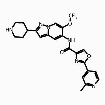 Cc1cc(-c2nc(C(=O)Nc3cc4cc(C5CCNCC5)nn4cc3OC(F)(F)F)co2)ccn1